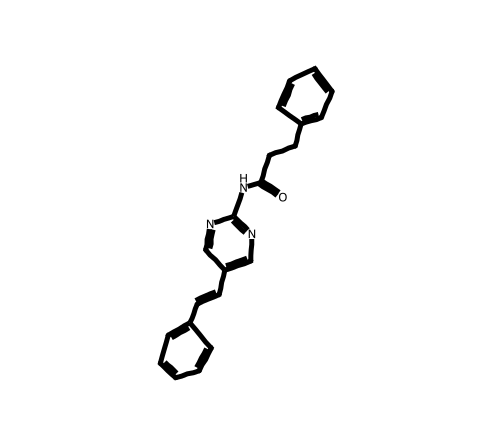 O=C(CCc1ccccc1)Nc1ncc(C=Cc2ccccc2)cn1